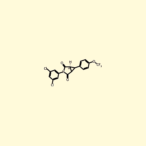 O=C1C2C(c3ccc(OC(F)(F)F)cc3)[C@@H]2C(=O)N1c1cc(Cl)cc(Cl)c1